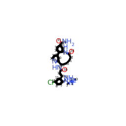 C=N/N=C\N(N)c1ccc(Cl)cc1/C=C/C(=O)N[C@H]1CCCCC(=O)Nc2cc(C(N)=O)ccc2-c2ccnc1c2